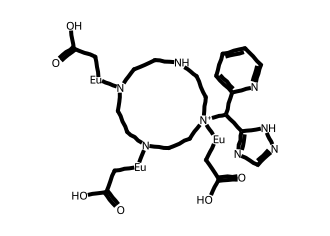 O=C(O)[CH2][Eu][N]1CCNCC[N+]([Eu][CH2]C(=O)O)(C(c2ccccn2)c2ncn[nH]2)CC[N]([Eu][CH2]C(=O)O)CC1